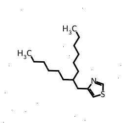 CCCCCCC(CCCCCC)Cc1cscn1